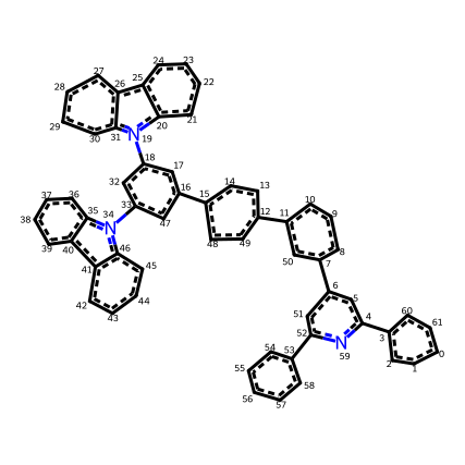 c1ccc(-c2cc(-c3cccc(-c4ccc(-c5cc(-n6c7ccccc7c7ccccc76)cc(-n6c7ccccc7c7ccccc76)c5)cc4)c3)cc(-c3ccccc3)n2)cc1